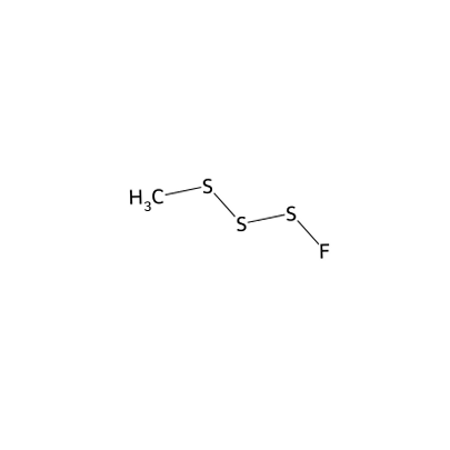 CSSSF